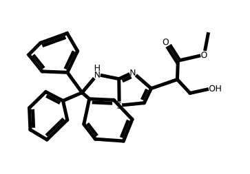 COC(=O)C(CO)c1csc(NC(c2ccccc2)(c2ccccc2)c2ccccc2)n1